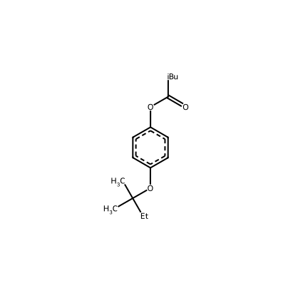 CCC(C)C(=O)Oc1ccc(OC(C)(C)CC)cc1